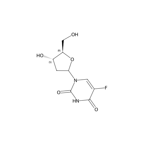 O=c1[nH]c(=O)n(C2C[C@H](O)[C@@H](CO)O2)cc1F